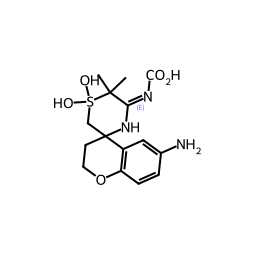 CC1(C)/C(=N\C(=O)O)NC2(CCOc3ccc(N)cc32)CS1(O)O